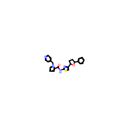 O=C(Nc1nc(C2CCC(c3ccccc3)O2)cs1)c1cccn1Cc1ccncc1